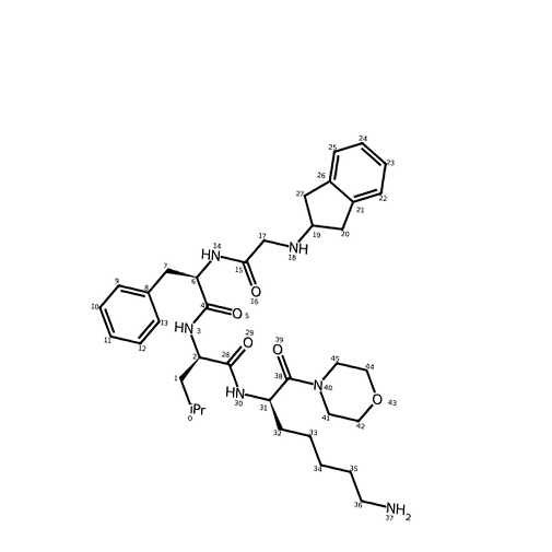 CC(C)C[C@@H](NC(=O)[C@@H](Cc1ccccc1)NC(=O)CNC1Cc2ccccc2C1)C(=O)N[C@H](CCCCCN)C(=O)N1CCOCC1